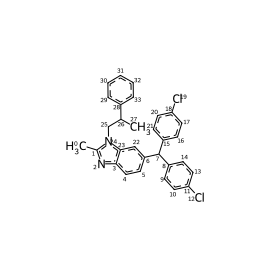 Cc1nc2ccc(C(c3ccc(Cl)cc3)c3ccc(Cl)cc3)cc2n1CC(C)c1ccccc1